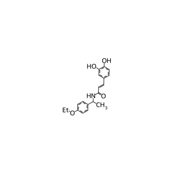 CCOc1ccc(C(C)NC(=O)/C=C/c2ccc(O)c(O)c2)cc1